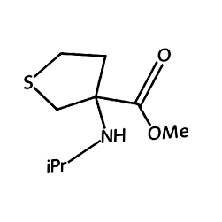 COC(=O)C1(NC(C)C)CCSC1